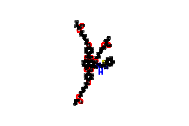 C=CC(=O)OCCCCCCOc1ccc(C(=O)Oc2c(/C=N/Nc3nc4ccccc4s3)c(OCCCCCCOC(=O)C=C)c(OC(=O)c3ccc(OCCCCCCOC(=O)C=C)cc3)c3ccccc23)cc1